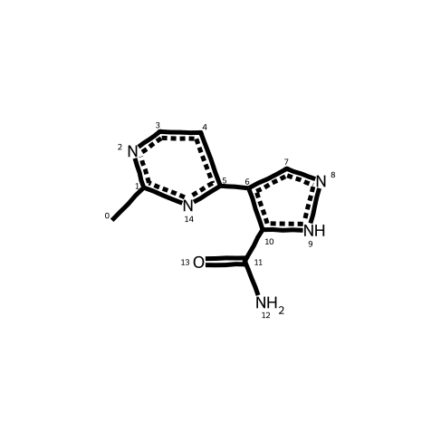 Cc1nccc(-c2cn[nH]c2C(N)=O)n1